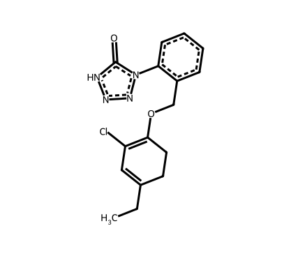 CCC1=CC(Cl)=C(OCc2ccccc2-n2nn[nH]c2=O)CC1